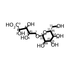 O=C(O)[C@@H](O)[C@H](O)[C@H](O)CO[C@H]1O[C@H](CO)[C@@H](O)[C@H](O)[C@H]1O